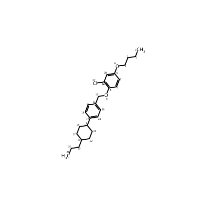 CCCCOc1ccc(OCc2ccc(C3CCC(CCC)CC3)cc2)c(Cl)c1